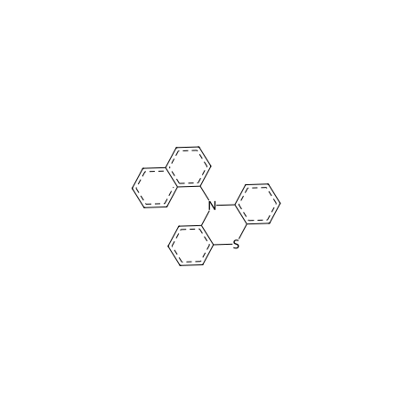 c1ccc2c(c1)Sc1ccccc1N2c1cccc2ccccc12